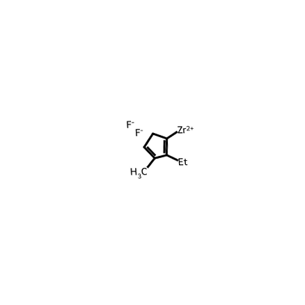 CCC1=[C]([Zr+2])CC=C1C.[F-].[F-]